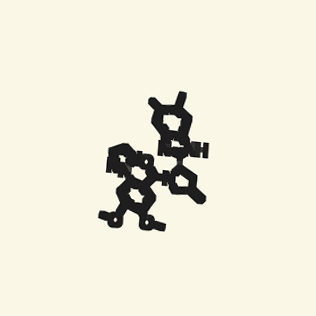 C=C1C[C@@H](c2nc3cc(C)c(C)cc3[nH]2)N(C(=O)c2cc(OC)c(OC)cc2-n2nccn2)C1